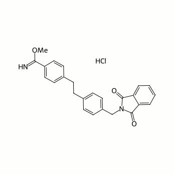 COC(=N)c1ccc(CCc2ccc(CN3C(=O)c4ccccc4C3=O)cc2)cc1.Cl